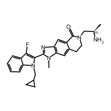 C[C@@H](N)CN1CCc2cc3c(cc2C1=O)nc(-c1c(F)c2ccccc2n1CC1CC1)n3C